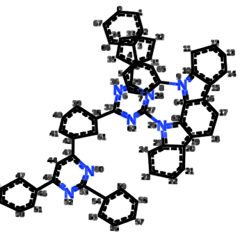 c1ccc(-c2cccc(-n3c4ccccc4c4ccc5c6ccccc6n(-c6nc(-c7ccccc7)nc(-c7cccc(-c8cc(-c9ccccc9)nc(-c9ccccc9)n8)c7)n6)c5c43)c2)cc1